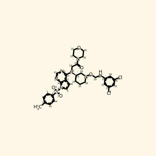 Cc1ccc(S(=O)(=O)n2ccc3c(N(CC(=O)N4CCOCC4)[C@@H]4CCCN(OCNc5cc(Cl)cc(Cl)c5)C4)ncnc32)cc1